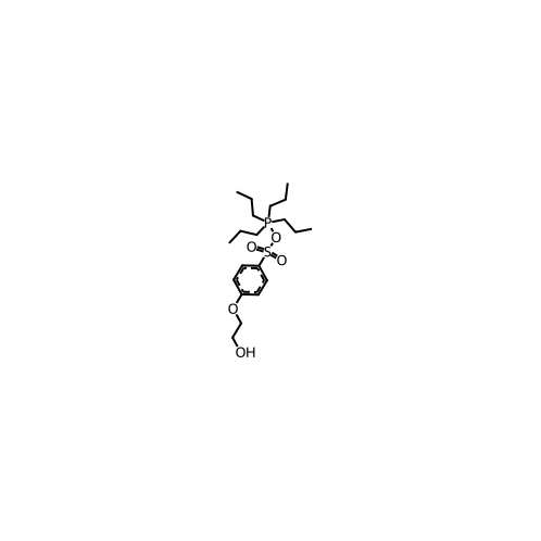 CCCP(CCC)(CCC)(CCC)OS(=O)(=O)c1ccc(OCCO)cc1